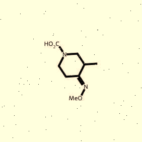 CON=C1CCN(C(=O)O)CC1C